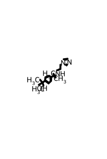 CCC(CC)(CO)c1ccc(C(C)(C)NCCCn2ccnc2)cc1